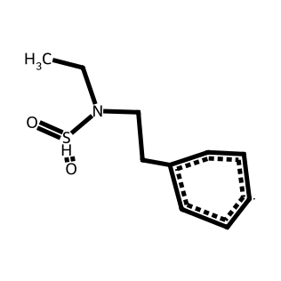 CCN(CCc1cc[c]cc1)[SH](=O)=O